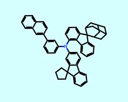 c1cc(-c2ccc3ccccc3c2)cc(N(c2ccc3c(c2)C2(CCCC2)c2ccccc2-3)c2cccc3c2-c2ccccc2C32C3CC4CC(C3)CC2C4)c1